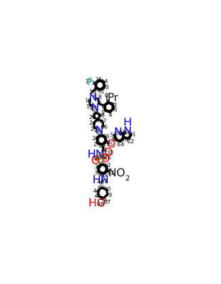 CC(C)c1ccccc1C1CN(Cc2ccccc2F)CCN1C1CC2(CCN(c3ccc(C(=O)NS(=O)(=O)c4ccc(NC[C@H]5CC[C@](C)(O)CC5)c([N+](=O)[O-])c4)c(Oc4cnc5[nH]ccc5c4)c3)CC2)C1